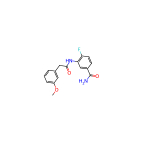 COc1cccc(CC(=O)Nc2cc(C(N)=O)ccc2F)c1